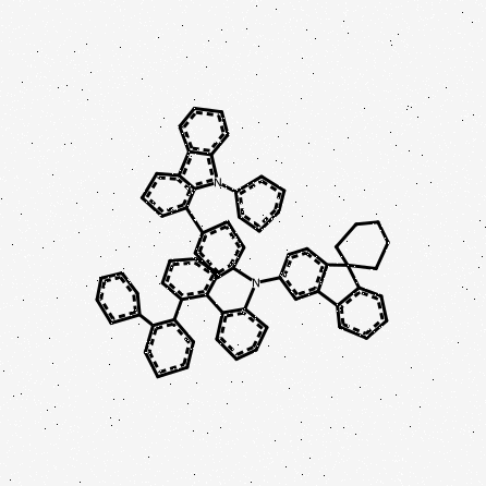 c1ccc(-c2ccccc2-c2ccccc2-c2ccccc2N(c2ccc(-c3cccc4c5ccccc5n(-c5ccccc5)c34)cc2)c2ccc3c(c2)-c2ccccc2C32CCCCC2)cc1